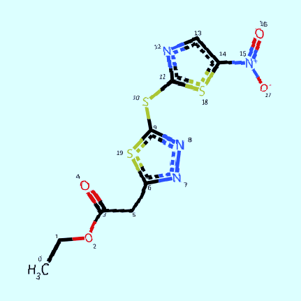 CCOC(=O)Cc1nnc(Sc2ncc([N+](=O)[O-])s2)s1